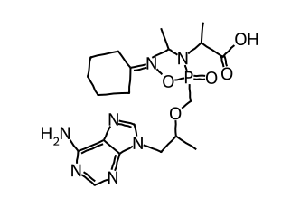 CC(Cn1cnc2c(N)ncnc21)OCP(=O)(ON=C1CCCCC1)N(C(C)C)C(C)C(=O)O